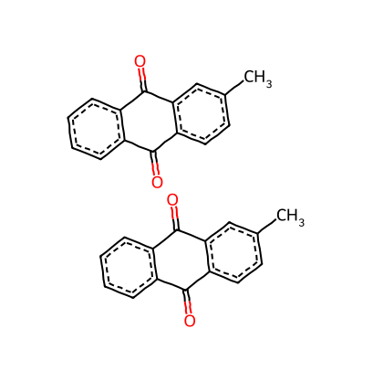 Cc1ccc2c(c1)C(=O)c1ccccc1C2=O.Cc1ccc2c(c1)C(=O)c1ccccc1C2=O